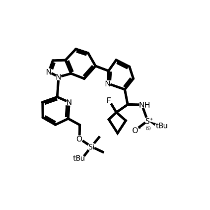 CC(C)(C)[S@@+]([O-])NC(c1cccc(-c2ccc3cnn(-c4cccc(CO[Si](C)(C)C(C)(C)C)n4)c3c2)n1)C1(F)CCC1